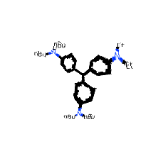 CCCCN(CCCC)c1ccc(C(c2ccc(N(CC)CC)cc2)c2ccc(N(CCCC)CCCC)cc2)cc1